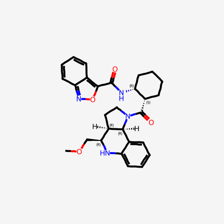 COC[C@@H]1Nc2ccccc2[C@H]2[C@@H]1CCN2C(=O)[C@H]1CCCC[C@H]1NC(=O)c1onc2ccccc12